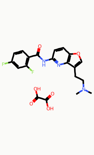 CN(C)CCc1coc2ccc(NC(=O)c3ccc(F)cc3F)nc12.O=C(O)C(=O)O